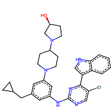 O[C@H]1CCN(C2CCN(c3cc(CC4CC4)cc(Nc4ncc(Cl)c(-c5c[nH]c6ccccc56)n4)c3)CC2)C1